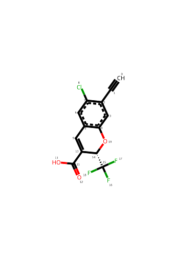 C#Cc1cc2c(cc1Cl)C=C(C(=O)O)[C@@H](C(F)(F)F)O2